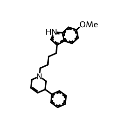 COc1ccc2c(CCCCN3CC=CC(c4ccccc4)C3)c[nH]c2c1